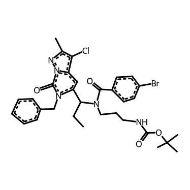 CCC(c1cc2c(Cl)c(C)nn2c(=O)n1Cc1ccccc1)N(CCCNC(=O)OC(C)(C)C)C(=O)c1ccc(Br)cc1